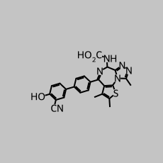 Cc1sc2c(c1C)C(c1ccc(-c3ccc(O)c(C#N)c3)cc1)=NC(NC(=O)O)c1nnc(C)n1-2